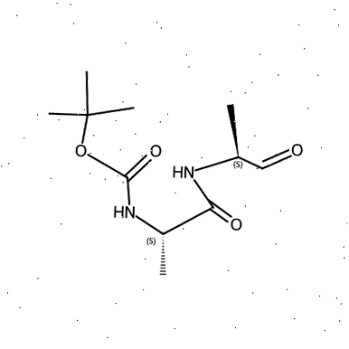 C[C@H](NC(=O)OC(C)(C)C)C(=O)N[C@@H](C)[C]=O